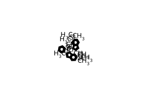 CC1=Cc2ccc([Si](C)(C)C)cc2[CH]1[Zr]([Cl])([Cl])([CH]1C(C)=Cc2ccc([Si](C)(C)C)cc21)=[Si](C)c1ccccc1